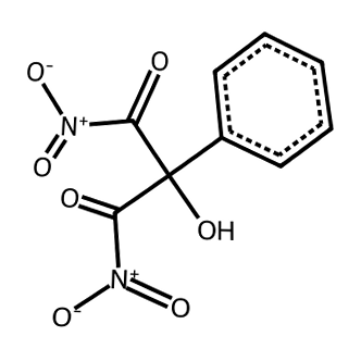 O=C([N+](=O)[O-])C(O)(C(=O)[N+](=O)[O-])c1ccccc1